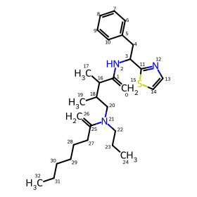 C=C(NC(Cc1ccccc1)c1nccs1)C(C)C(C)CN(CCC)C(=C)CCCCCC